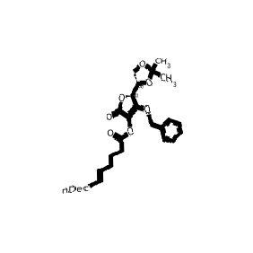 CCCCCCCCCCCCCCCC(=O)OC1=C(OCc2ccccc2)[C@@H]([C@@H]2COC(C)(C)O2)OC1=O